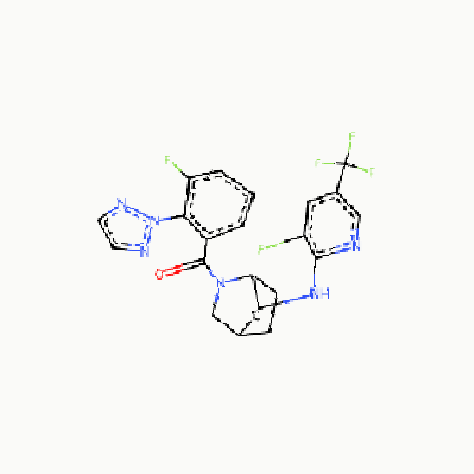 O=C(c1cccc(F)c1-n1nccn1)N1CC2CCC1C(Nc1ncc(C(F)(F)F)cc1F)C2